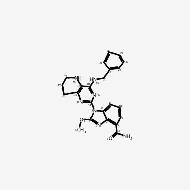 COc1nc2c(C(N)=O)cccc2n1-c1nc2c(c(NCc3ccccc3)n1)NCCC2